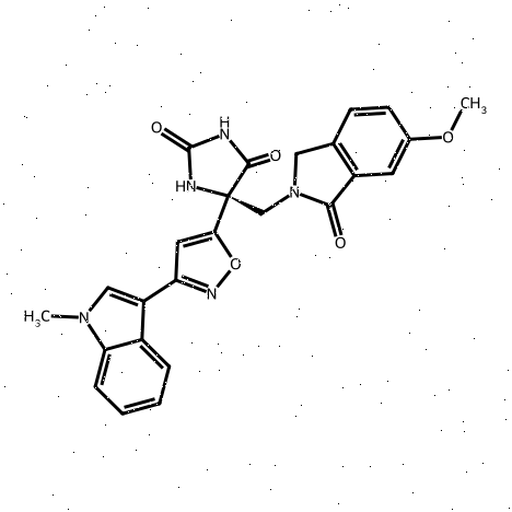 COc1ccc2c(c1)C(=O)N(C[C@@]1(c3cc(-c4cn(C)c5ccccc45)no3)NC(=O)NC1=O)C2